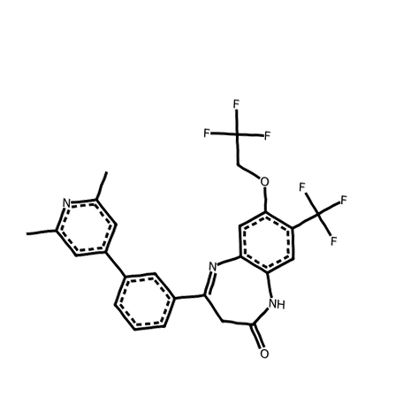 Cc1cc(-c2cccc(C3=Nc4cc(OCC(F)(F)F)c(C(F)(F)F)cc4NC(=O)C3)c2)cc(C)n1